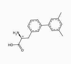 Cc1cc(C)cc(-c2cccc(C[C@H](N)C(=O)O)c2)c1